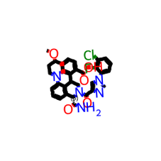 COC1CCN(c2cccc3c2C(c2ccccc2C(=O)O)CN(C(=O)c2cn(-c4cccc(Cl)c4F)cn2)[C@@H]3C(N)=O)CC1